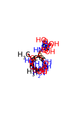 CCCCCC(=O)N[C@H]1CSCc2cc(CSCCNC(=O)CN3CCN(CC(=O)O)CCN(CC(=O)O)CCN(CC(=O)O)CC3)cc(c2)CSCCNC(=O)[C@H](Cc2ccccc2)NC(=O)[C@H](CCC(N)=O)NC(=O)[C@H]([C@@H](C)O)NC(=O)[C@@H]2CCCN2C(=O)[C@@H]2CCCN2C1=O